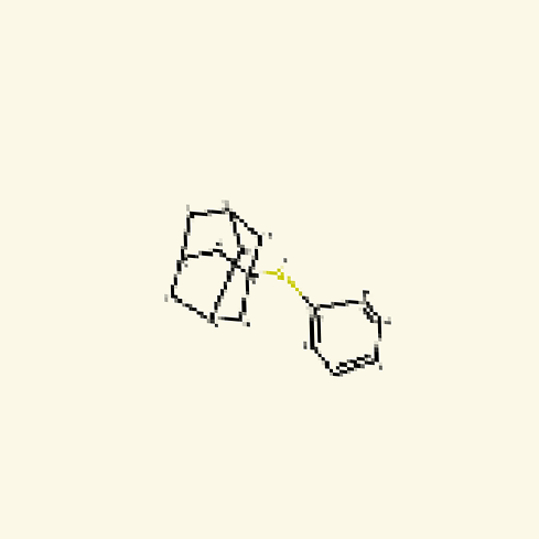 c1ccc(SC23CC4CC(CC(C4)C2)C3)cc1